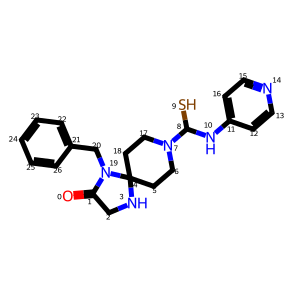 O=C1CNC2(CCN(C(S)Nc3ccncc3)CC2)N1Cc1ccccc1